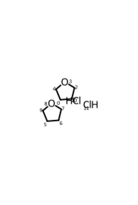 C1CCOC1.C1CCOC1.Cl.Cl